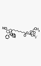 [CH2][C@H](COC(=O)CCCCCCCC1=C(c2ccccc2)C2(C(=C)c3ccccc3)CCC(O)C2C1)OC(=O)CC